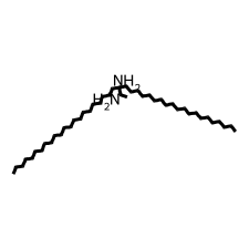 CCCCCCCCCCCCCCCCCCCCCCC(N)(CCCCCCCCCCCCCCCCCCCC)C(C)N